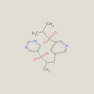 CC(C)S(=O)(=O)c1cncc(CC(C)S(=O)(=O)c2cncnc2)c1